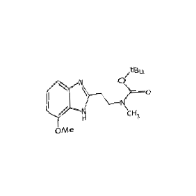 COc1cccc2nc(CCN(C)C(=O)OC(C)(C)C)[nH]c12